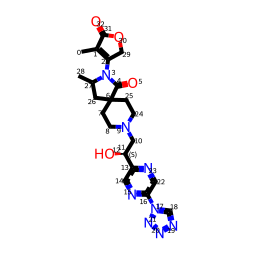 CC1=C(N2C(=O)C3(CCN(C[C@H](O)c4cnc(-n5cnnn5)cn4)CC3)CC2C)COC1=O